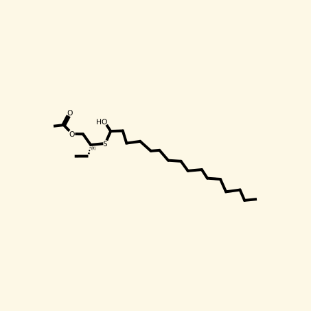 CCCCCCCCCCCCCCCC(O)S[C@H](CC)COC(C)=O